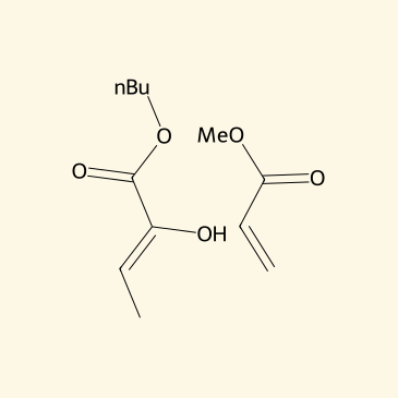 C=CC(=O)OC.CC=C(O)C(=O)OCCCC